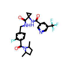 CC1CCC(C)N1C(=O)c1ccc(CNC(=O)C2(NC(=O)c3cncc(C(F)(F)F)c3)CC2)cc1F